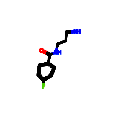 N=CCCNC(=O)c1ccc(F)cc1